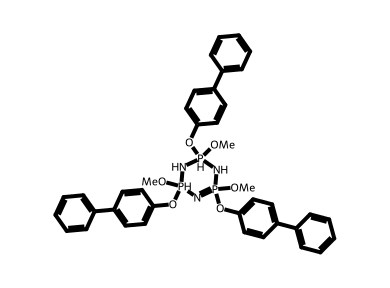 COP1(Oc2ccc(-c3ccccc3)cc2)=N[PH](OC)(Oc2ccc(-c3ccccc3)cc2)N[PH](OC)(Oc2ccc(-c3ccccc3)cc2)N1